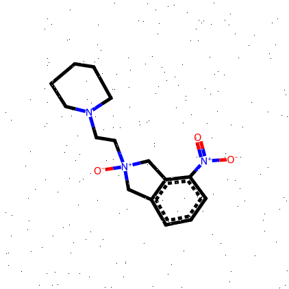 O=[N+]([O-])c1cccc2c1C[N+]([O-])(CCN1CCCCC1)C2